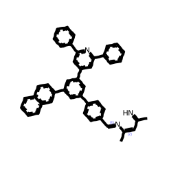 CC(=N)/C=C(C)\N=C\c1ccc(-c2cc(-c3cc(-c4ccccc4)nc(-c4ccccc4)c3)cc(-c3ccc4ccccc4c3)c2)cc1